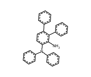 Nc1c(N(c2ccccc2)c2ccccc2)ccc(-c2ccccc2)c1-c1ccccc1